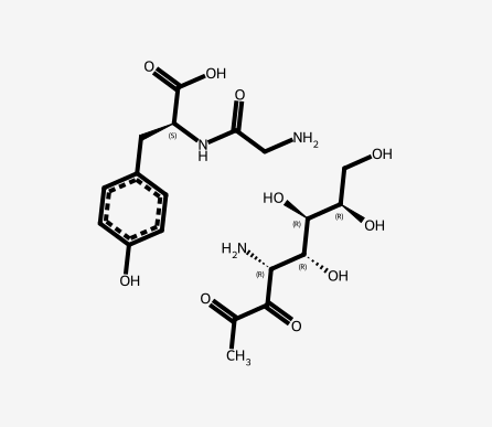 CC(=O)C(=O)[C@H](N)[C@@H](O)[C@@H](O)[C@H](O)CO.NCC(=O)N[C@@H](Cc1ccc(O)cc1)C(=O)O